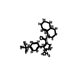 Cn1ncc(C(=O)N2CCCC3CCCC=C32)c1-c1ccc(C(F)(F)F)cc1